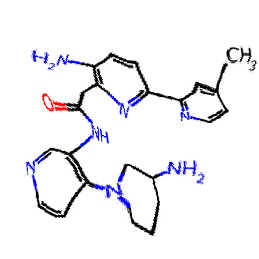 Cc1ccnc(-c2ccc(N)c(C(=O)Nc3cnccc3N3CCCC(N)C3)n2)c1